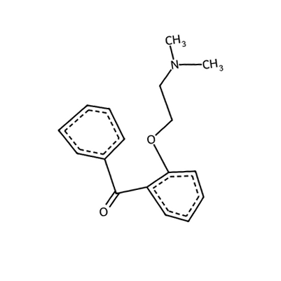 CN(C)CCOc1ccccc1C(=O)c1ccccc1